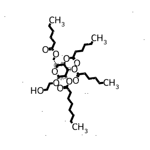 CCCCCCCC(=O)O[C@@H]1[C@H](OCCO)O[C@H](COC(=O)CCCCC)[C@@H](OC(=O)CCCCC)[C@@H]1OC(=O)CCCCC